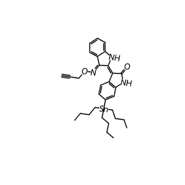 C#CCO/N=C1/C(=C2/C(=O)Nc3c[c]([Sn]([CH2]CCC)([CH2]CCC)[CH2]CCC)ccc32)Nc2ccccc21